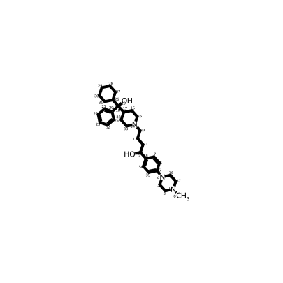 CN1CCN(c2ccc(C(O)CCCN3CCC(C(O)(c4ccccc4)C4CCCCC4)CC3)cc2)CC1